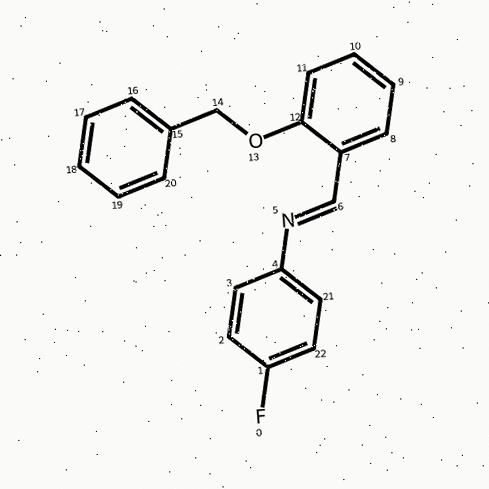 Fc1ccc(N=Cc2ccccc2OCc2ccccc2)cc1